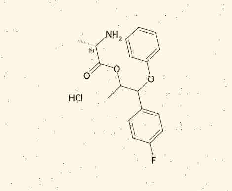 CC(OC(=O)[C@H](C)N)C(Oc1ccccc1)c1ccc(F)cc1.Cl